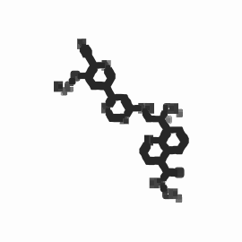 CNC(=O)c1ccnc2c([C@H](C)CNc3cc(-c4cnc(C#N)c(OC)c4)ncn3)cccc12